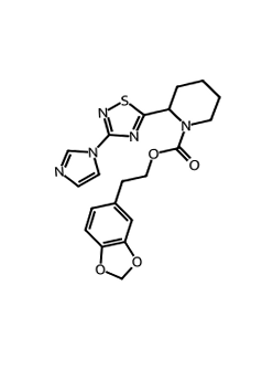 O=C(OCCc1ccc2c(c1)OCO2)N1CCCCC1c1nc(-n2ccnc2)ns1